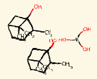 CC1CCC2CC1(O)C2(C)C.CC1CCC2CC1(O)C2(C)C.OB(O)O